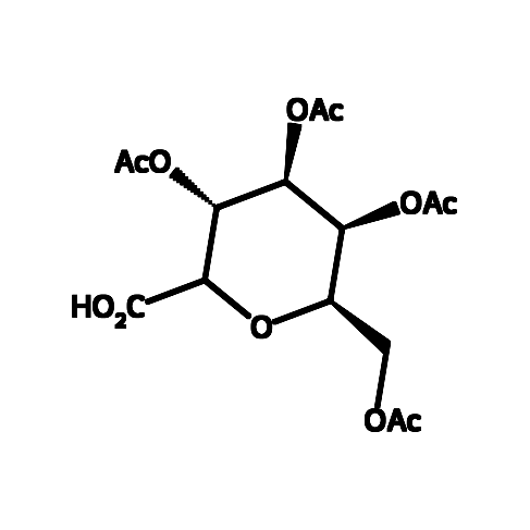 CC(=O)OC[C@H]1OC(C(=O)O)[C@H](OC(C)=O)[C@@H](OC(C)=O)[C@H]1OC(C)=O